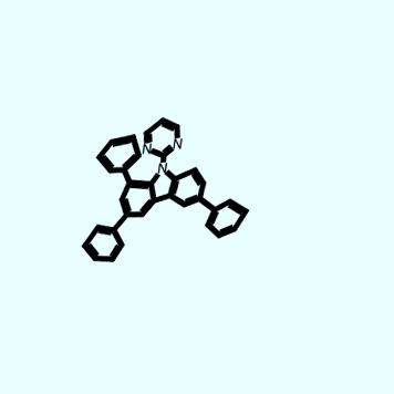 c1ccc(-c2ccc3c(c2)c2cc(-c4ccccc4)cc(-c4ccccc4)c2n3-c2ncccn2)cc1